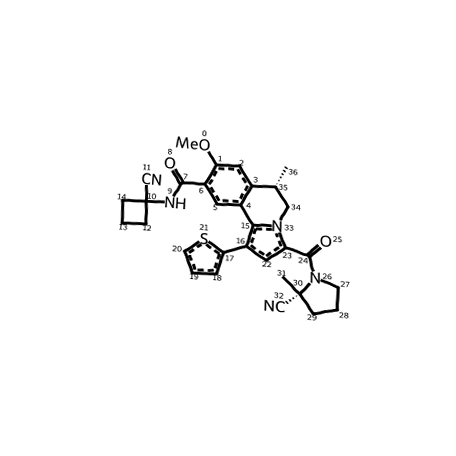 COc1cc2c(cc1C(=O)NC1(C#N)CCC1)-c1c(-c3cccs3)cc(C(=O)N3CCC[C@]3(C)C#N)n1C[C@H]2C